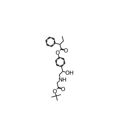 CCC(C(=O)Oc1ccc(C(O)CNCC(=O)OC(C)(C)C)cc1)c1ccccc1